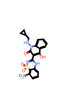 O=c1c(C2=NS(=O)(=O)c3c([N+](=O)[O-])[c]ccc3N2)c(O)c2ccccc2n1NCC1CC1